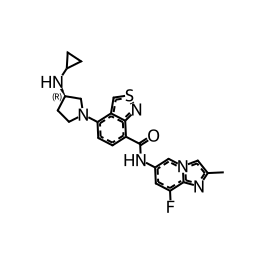 Cc1cn2cc(NC(=O)c3ccc(N4CC[C@@H](NC5CC5)C4)c4csnc34)cc(F)c2n1